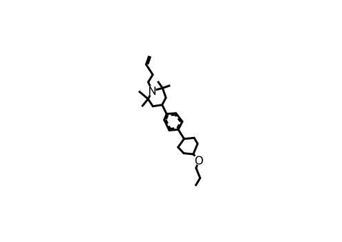 C=CCCN1C(C)(C)CC(c2ccc(C3CCC(OCCC)CC3)cc2)CC1(C)C